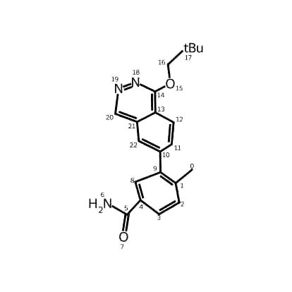 Cc1ccc(C(N)=O)cc1-c1ccc2c(OCC(C)(C)C)nncc2c1